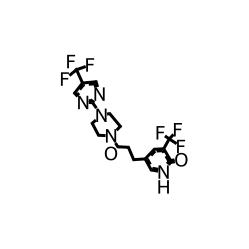 O=C(CCc1c[nH]c(=O)c(C(F)(F)F)c1)N1CCN(c2ncc(C(F)(F)F)cn2)CC1